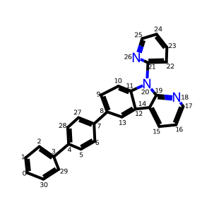 c1ccc(-c2ccc(-c3ccc4c(c3)c3cccnc3n4-c3ccccn3)cc2)cc1